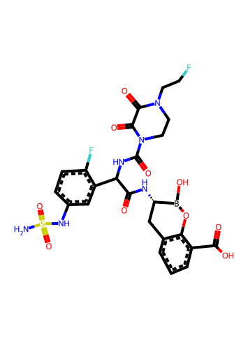 NS(=O)(=O)Nc1ccc(F)c(C(NC(=O)N2CCN(CCF)C(=O)C2=O)C(=O)N[C@H]2Cc3cccc(C(=O)O)c3OB2O)c1